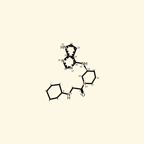 O=C(CNC1CCCCC1)N1CCC[C@H](Nc2ncnc3[nH]ccc23)C1